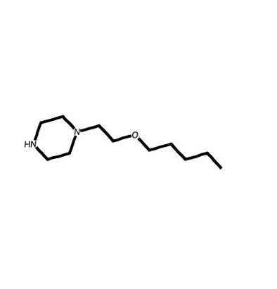 CCCCCOCCN1CCNCC1